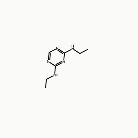 CCNc1ncnc(NCC)n1